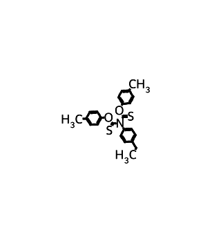 CCc1ccc(N(C(=S)Oc2ccc(C)cc2)C(=S)Oc2ccc(C)cc2)cc1